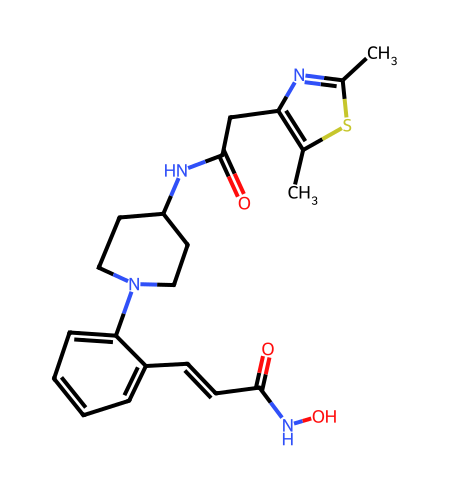 Cc1nc(CC(=O)NC2CCN(c3ccccc3C=CC(=O)NO)CC2)c(C)s1